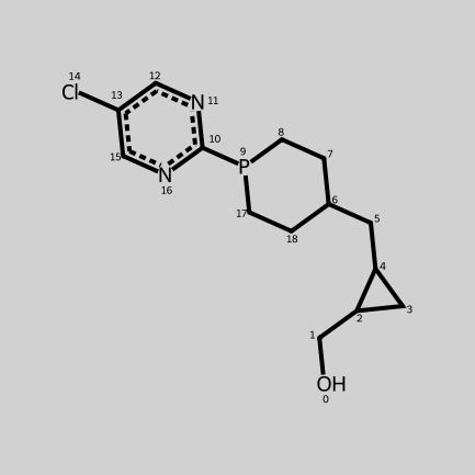 OCC1CC1CC1CCP(c2ncc(Cl)cn2)CC1